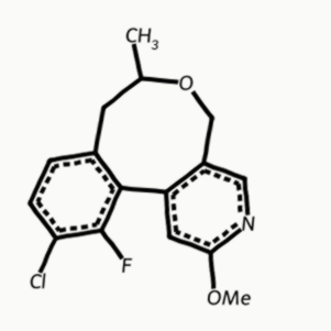 COc1cc2c(cn1)COC(C)Cc1ccc(Cl)c(F)c1-2